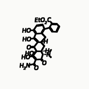 CCOC(=O)c1ccccc1-c1ccc(O)c2c1C[C@H]1C[C@H]3[C@H](N(C)C)C(=O)C(C(N)=O)=C(O)[C@@]3(O)C(=O)C1=C2O